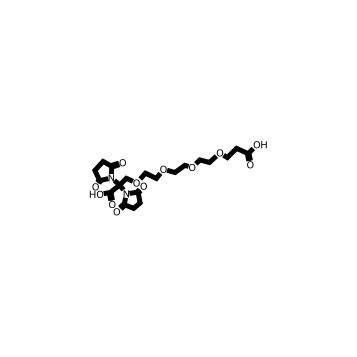 O=C(O)CCOCCOCCOCCOCC(C(=O)O)(N1C(=O)CCC1=O)N1C(=O)CCC1=O